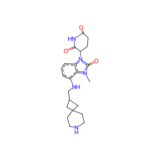 Cn1c(=O)n(C2CCC(=O)NC2=O)c2cccc(NCC3CC4(CCNCC4)C3)c21